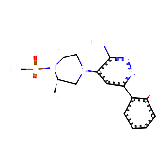 C[C@@H]1CN(c2cc(-c3ccccc3O)nnc2N)C[C@@H](C)N1S(C)(=O)=O